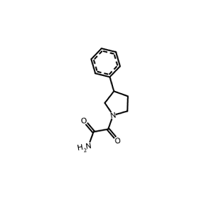 NC(=O)C(=O)N1CCC(c2ccccc2)C1